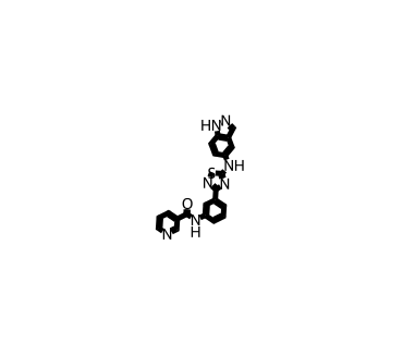 O=C(Nc1cccc(-c2nsc(Nc3ccc4[nH]ncc4c3)n2)c1)c1cccnc1